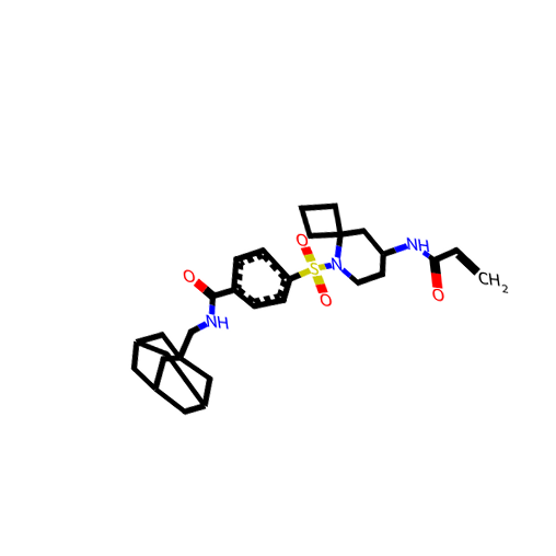 C=CC(=O)NC1CCN(S(=O)(=O)c2ccc(C(=O)NCC34CC5CC(CC(C5)C3)C4)cc2)C2(CCC2)C1